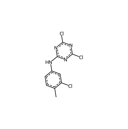 Cc1ccc(Nc2nc(Cl)nc(Cl)n2)cc1Cl